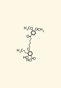 CCCc1c(OCCCCCC(=O)c2ccc(OC)c(OC)c2)ccc(C(=O)O)c1O